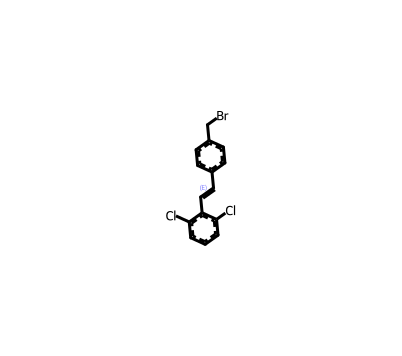 Clc1cccc(Cl)c1/C=C/c1ccc(CBr)cc1